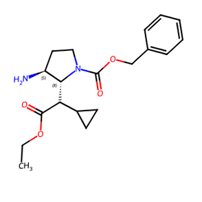 CCOC(=O)C(C1CC1)[C@@H]1[C@@H](N)CCN1C(=O)OCc1ccccc1